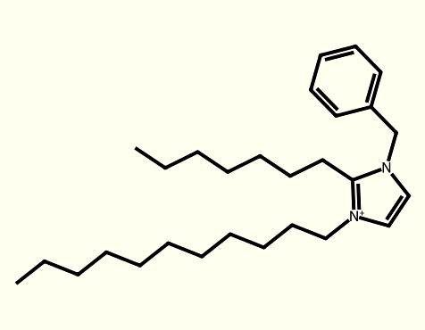 CCCCCCCCCCC[n+]1ccn(Cc2ccccc2)c1CCCCCCC